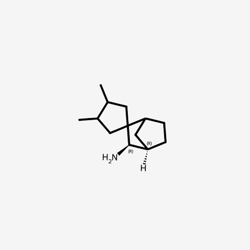 CC1CC2(CC1C)C1CC[C@H](C1)[C@H]2N